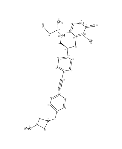 COC1CN(Cc2ccc(C#Cc3ccc([C@@H](CN[C@@H](C)CF)Cc4nc[nH]c(=O)c4O)cc3)cc2)C1